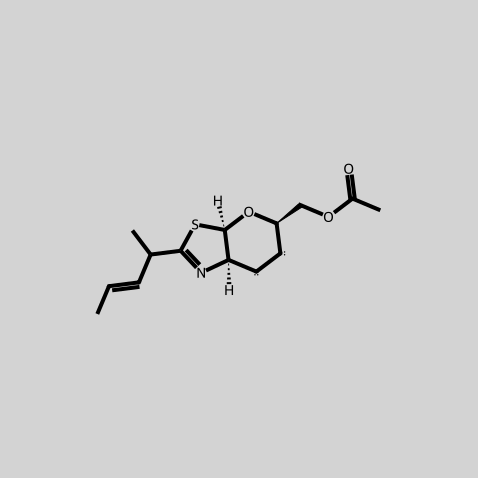 C/C=C/C(C)C1=N[C@@H]2[C][C][C@H](COC(C)=O)O[C@@H]2S1